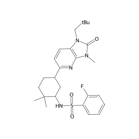 Cn1c(=O)n(CC(C)(C)C)c2ccc(C3CCC(C)(C)C(NS(=O)(=O)c4ccccc4F)C3)nc21